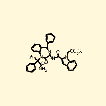 CC(C)C(C(N)=O)(c1ccccc1)N1C(=O)C(NC(=O)c2cc3ccccc3n2CC(=O)O)N=C(c2ccccc2)c2ccccc21